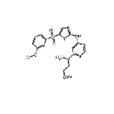 CCOc1cccc(S(=O)(=O)c2cnc(Nc3cc(N(C)CCOC)ncn3)s2)c1